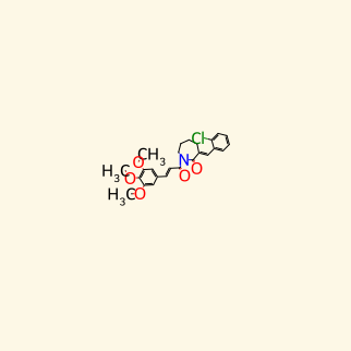 COc1cc(/C=C/C(=O)N2CCCC/C(=C\c3ccccc3Cl)C2=O)cc(OC)c1OC